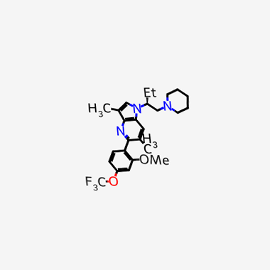 CC[C@@H](CN1CCCCC1)n1cc(C)c2nc(-c3ccc(OC(F)(F)F)cc3OC)c(C)cc21